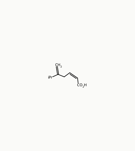 C=C(C/C=C\C(=O)O)C(C)C